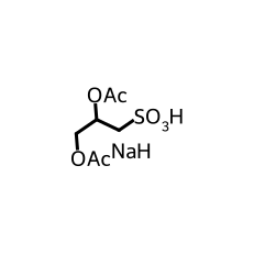 CC(=O)OCC(CS(=O)(=O)O)OC(C)=O.[NaH]